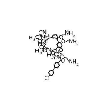 C[C@@H]1NC(=O)[C@@H](N(C)C(=O)[C@H](CCCCN)NC(=O)c2ccc(-c3ccc(Cl)cc3)cc2)c2ccc(OCCN)c(c2)-c2cc(ccc2OCCN)C[C@@H](C(=O)N[C@@H](C)C#N)NC1=O